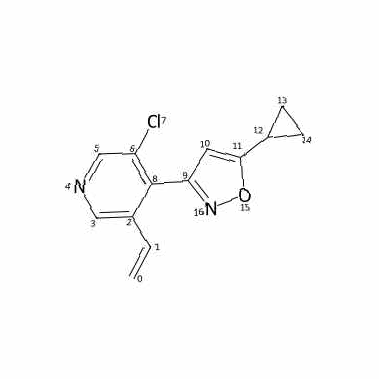 C=Cc1cncc(Cl)c1-c1cc(C2CC2)on1